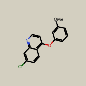 COc1cccc(Oc2ccnc3cc(Cl)ccc23)c1